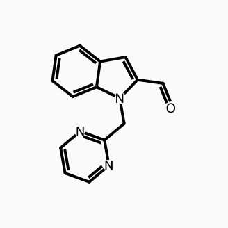 O=Cc1cc2ccccc2n1Cc1ncccn1